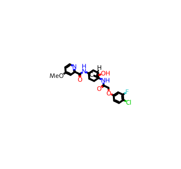 COc1ccnc(C(=O)NC23CCC(NC(=O)COc4ccc(Cl)c(F)c4)(CC2)[C@@H](O)C3)c1